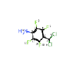 Nc1c(F)c(F)c(C(Cl)Cl)c(F)c1F